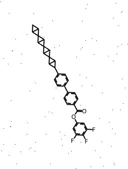 O=C(Oc1cc(F)c(F)c(F)c1)c1ccc(-c2ccc(C3C4C3C43C4C3C43C4C3C43C4CC43)cc2)cc1